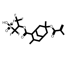 C=C(C)C(=O)OC1(C)CC2CC(C)C(C(=O)OC(C(F)(F)F)C(F)(F)S(=O)(=O)O)C(C2)C1